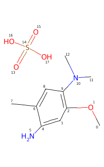 COc1cc(N)c(C)cc1N(C)C.O=S(=O)(O)O